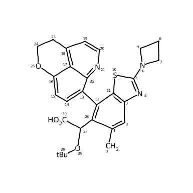 Cc1cc2nc(N3CCC3)sc2c(-c2ccc3c4c(ccnc24)CCO3)c1C(OC(C)(C)C)C(=O)O